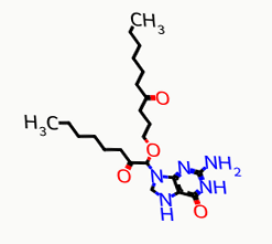 CCCCCCC(=O)CCCOC(C(=O)CCCCCC)N1CNc2c1nc(N)[nH]c2=O